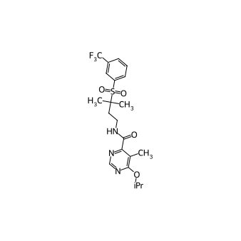 Cc1c(OC(C)C)ncnc1C(=O)NCCC(C)(C)S(=O)(=O)c1cccc(C(F)(F)F)c1